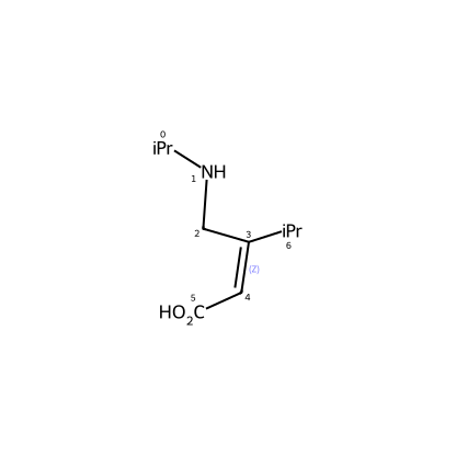 CC(C)NC/C(=C\C(=O)O)C(C)C